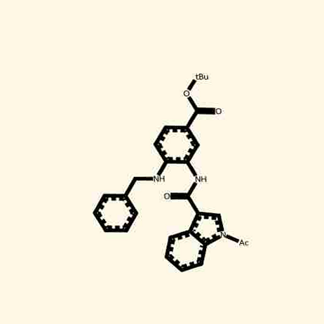 CC(=O)n1cc(C(=O)Nc2cc(C(=O)OC(C)(C)C)ccc2NCc2ccccc2)c2ccccc21